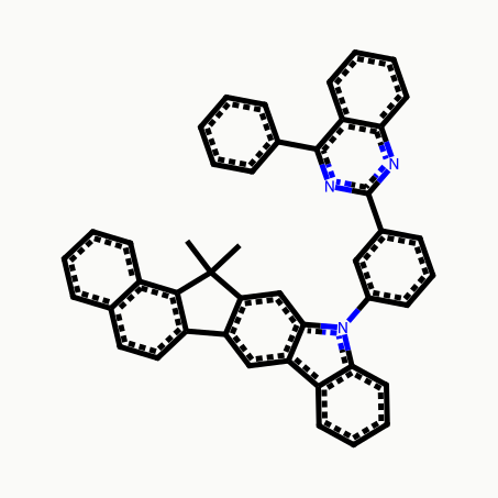 CC1(C)c2cc3c(cc2-c2ccc4ccccc4c21)c1ccccc1n3-c1cccc(-c2nc(-c3ccccc3)c3ccccc3n2)c1